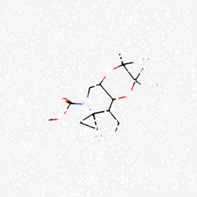 CCCCOC(=O)N1CC2OC(C)(OC)C(C)(OC)OC2C(COC)C12CC2